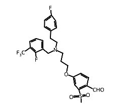 CS(=O)(=O)c1cc(OCCCN(CCc2ccc(F)cc2)Cc2cccc(C(F)(F)F)c2F)ccc1C=O